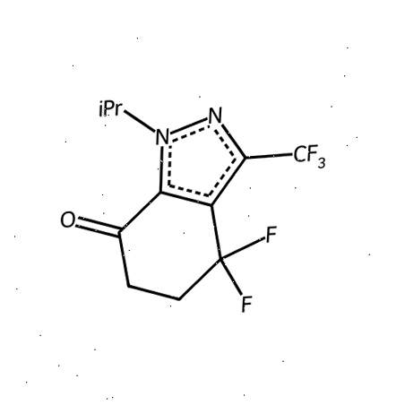 CC(C)n1nc(C(F)(F)F)c2c1C(=O)CCC2(F)F